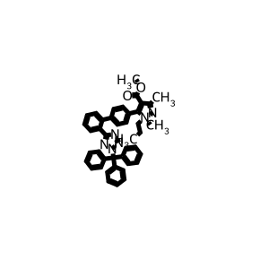 CCC[N+]1(C)N=C(C)C(C(=O)OC)=C1c1ccc(-c2ccccc2-c2nnn(C(c3ccccc3)(c3ccccc3)c3ccccc3)n2)cc1